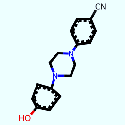 N#Cc1ccc(N2CCN(c3ccc(O)cc3)CC2)cc1